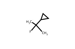 CC(C)(F)[C]1CC1